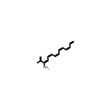 C=C\C=C/C=C\C=C/C=C\C=C(\P)C(=C)C